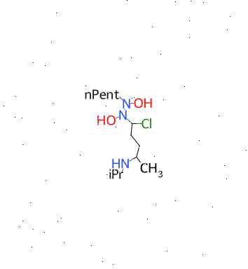 CCCCCN(O)N(O)C(Cl)CCC(C)NC(C)C